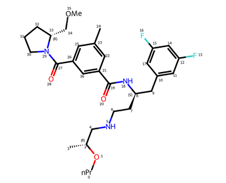 CCCO[C@H](C)CNCC[C@H](Cc1cc(F)cc(F)c1)NC(=O)c1cc(C)cc(C(=O)N2CCC[C@@H]2COC)c1